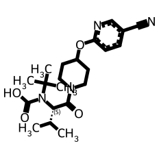 CC(C)[C@@H](C(=O)N1CCC(Oc2ccc(C#N)cn2)CC1)N(C(=O)O)C(C)(C)C